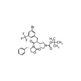 CC(C)(C)OC(=O)N1CC[C@H]([C@H](Cc2cc(Br)cc(C(F)(F)F)c2)C(=O)N2C(=O)OC[C@@H]2Cc2ccccc2)C1